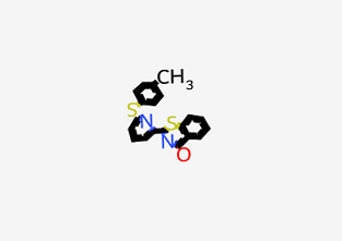 Cc1ccc(Sc2cccc(-c3nc(=O)c4ccccc4s3)n2)cc1